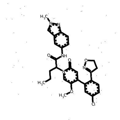 CCCC(C(=O)Nc1ccc2nn(C)cc2c1)n1cc(OC)c(-c2cc(Cl)ccc2C2=NOCC2)cc1=O